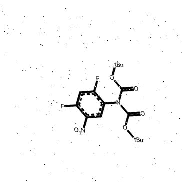 CC(C)(C)OC(=O)N(C(=O)OC(C)(C)C)c1cc([N+](=O)[O-])c(F)cc1F